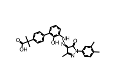 CC1=NN(c2ccc(C)c(C)c2)C(=O)C1=NNc1cccc(-c2ccc(C(C)(C)C(=O)O)cc2)c1O